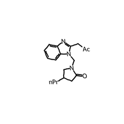 CCCC1CC(=O)N(Cn2c(CC(C)=O)nc3ccccc32)C1